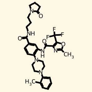 Cc1nc(C(=O)Nc2cc(C(=O)NCCCN3CCCC3=O)ccc2N2CCN(c3ccccc3C)CC2)c(C(F)(F)F)o1